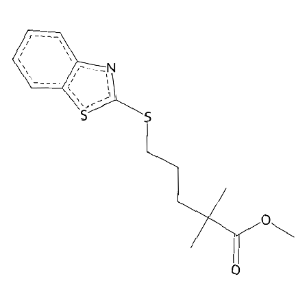 COC(=O)C(C)(C)CCCSc1nc2ccccc2s1